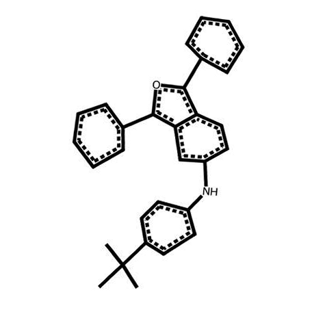 CC(C)(C)c1ccc(Nc2ccc3c(-c4ccccc4)oc(-c4ccccc4)c3c2)cc1